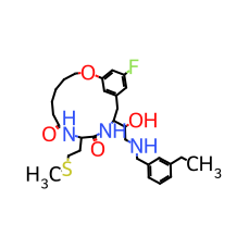 CCc1cccc(CNCC(O)C2Cc3cc(F)cc(c3)OCCCCCC(=O)NC(CCSC)C(=O)N2)c1